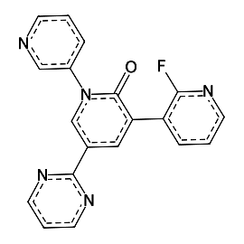 O=c1c(-c2cccnc2F)cc(-c2ncccn2)cn1-c1cccnc1